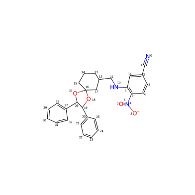 N#Cc1ccc([N+](=O)[O-])c(NCC2CCCC3(C2)OC(c2ccccc2)C(c2ccccc2)O3)c1